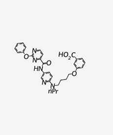 CCCN(CCCCOc1cccc(C(=O)O)c1)c1ccc(NC(=O)c2ccnc(Oc3ccccc3)n2)cn1